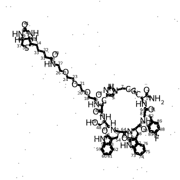 NC(=O)[C@@H]1CCCCn2cc(nn2)C[C@H](NC(=O)COCCOCCOCCNC(=O)CCCCC2SC[C@@H]3NC(=O)N[C@H]23)C(=O)N[C@H](CO)C(=O)N[C@H](Cc2c[nH]c3ccccc23)C(=O)N[C@H](Cc2c[nH]c3ccccc23)C(=O)N[C@@H](Cc2ccc(F)cc2)C(=O)N1